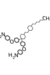 CCCCCCCC1CCC(CCC2CCC(c3ccc(Oc4ccc(N)cc4)cc3)(c3ccc(Oc4ccc(N)cc4)cc3)CC2)CC1